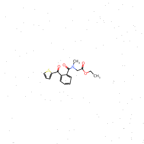 CCOC(=O)CN(C)C(=O)c1ccccc1C(=O)c1cccs1